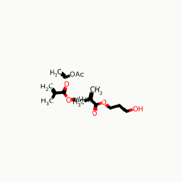 C=C(C)C(=O)OCCCCCC.C=C(C)C(=O)OCCCO.C=COC(C)=O